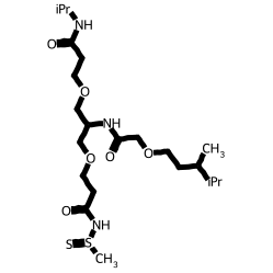 CC(C)NC(=O)CCOCC(COCCC(=O)NS(C)=S)NC(=O)COCCC(C)C(C)C